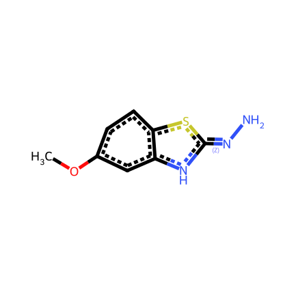 COc1ccc2s/c(=N\N)[nH]c2c1